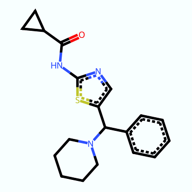 O=C(Nc1ncc(C(c2ccccc2)N2CCCCC2)s1)C1CC1